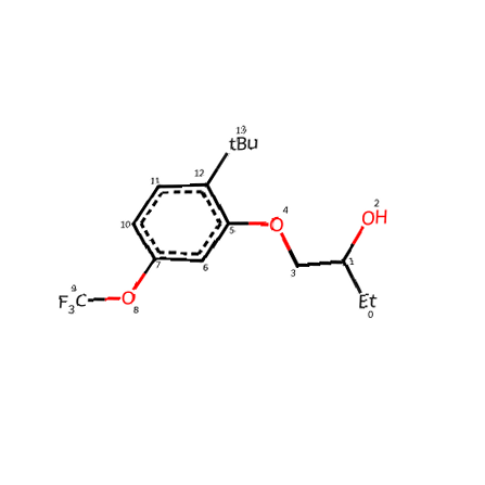 CCC(O)COc1cc(OC(F)(F)F)ccc1C(C)(C)C